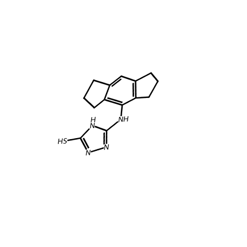 Sc1nnc(Nc2c3c(cc4c2CCC4)CCC3)[nH]1